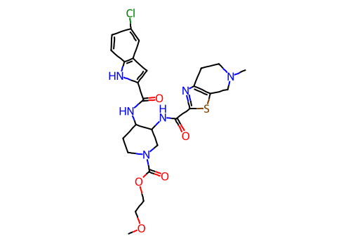 COCCOC(=O)N1CCC(NC(=O)c2cc3cc(Cl)ccc3[nH]2)C(NC(=O)c2nc3c(s2)CN(C)CC3)C1